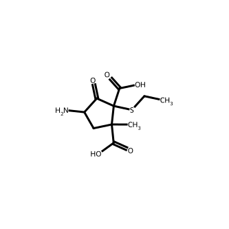 CCSC1(C(=O)O)C(=O)C(N)CC1(C)C(=O)O